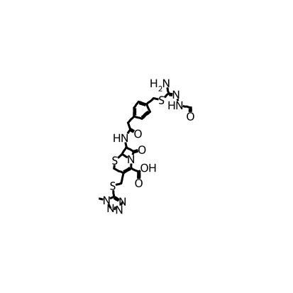 Cn1nnnc1SCC1=C(C(=O)O)N2C(=O)C(NC(=O)Cc3ccc(CS/C(N)=N\NC=O)cc3)C2SC1